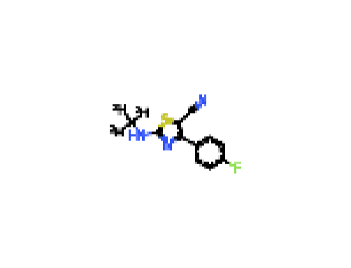 [2H]C([2H])([2H])Nc1nc(-c2ccc(F)cc2)c(C#N)s1